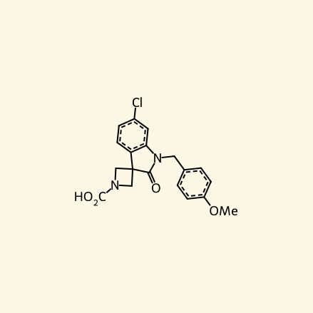 COc1ccc(CN2C(=O)C3(CN(C(=O)O)C3)c3ccc(Cl)cc32)cc1